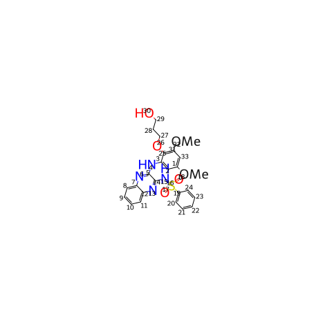 COc1cc(Nc2nc3ccccc3nc2NS(=O)(=O)c2ccccc2)c(OCCCO)c(OC)c1